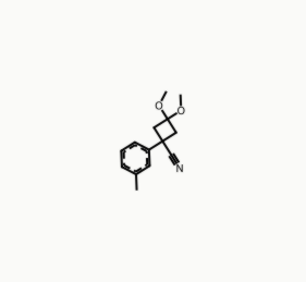 COC1(OC)CC(C#N)(c2cccc(C)c2)C1